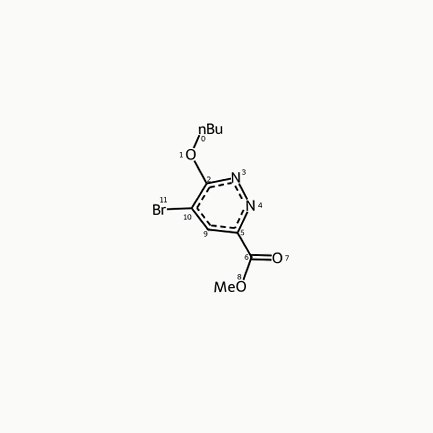 CCCCOc1nnc(C(=O)OC)cc1Br